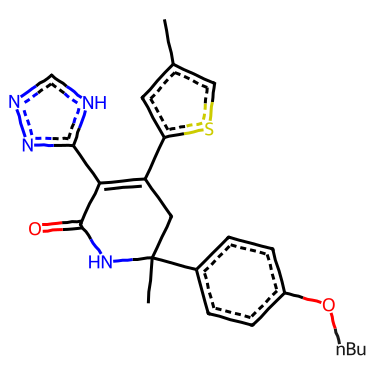 CCCCOc1ccc(C2(C)CC(c3cc(C)cs3)=C(c3nnc[nH]3)C(=O)N2)cc1